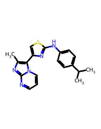 Cc1nc2ncccn2c1-c1csc(Nc2ccc(C(C)C)cc2)n1